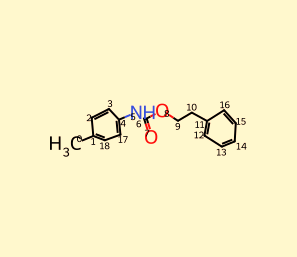 Cc1ccc(NC(=O)OCCc2ccccc2)cc1